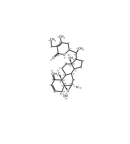 CCC1=C(C)CC([C@@H](C)C2CCC3C4C[C@H]5O[C@]56[C@H](O)C=CC(=O)[C@]6(C)C4CC[C@@]32C)OC1=O